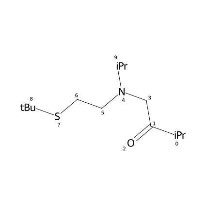 CC(C)C(=O)CN(CCSC(C)(C)C)C(C)C